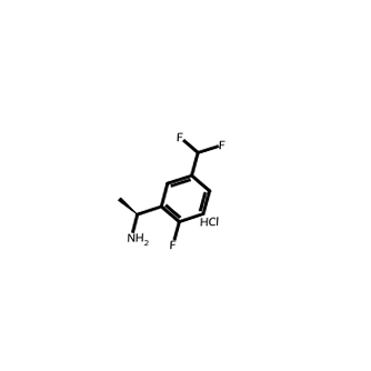 C[C@H](N)c1cc(C(F)F)ccc1F.Cl